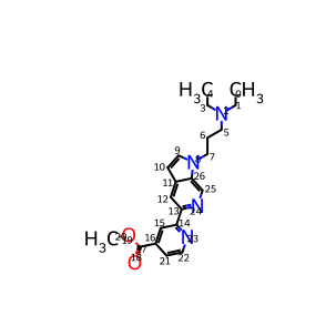 CCN(CC)CCCn1ccc2cc(-c3cc(C(=O)OC)ccn3)ncc21